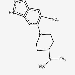 CN(C)C1CCN(c2cc3[nH]ncc3cc2[N+](=O)[O-])CC1